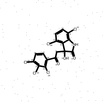 O=C(CC1(O)C(=O)Nc2c(Cl)ccc(Cl)c21)c1ccc(Cl)c(Cl)c1Cl